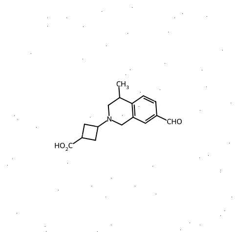 CC1CN(C2CC(C(=O)O)C2)Cc2cc(C=O)ccc21